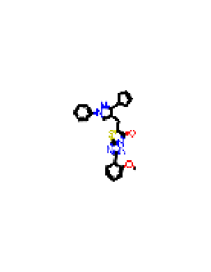 COc1ccccc1-c1nc2s/c(=C\c3cn(-c4ccccc4)nc3C3=CC=CC3)c(=O)n2n1